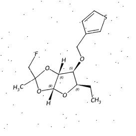 CC[C@H]1O[C@@H]2OC(C)(CF)O[C@@H]2[C@H]1OCc1ccsc1